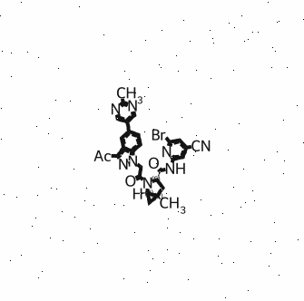 CC(=O)c1nn(CC(=O)N2[C@H](C(=O)Nc3cc(C#N)cc(Br)n3)C[C@@]3(C)C[C@@H]23)c2ccc(-c3cnc(C)nc3)cc12